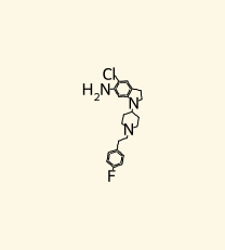 Nc1cc2c(cc1Cl)CCN2C1CCN(CCc2ccc(F)cc2)CC1